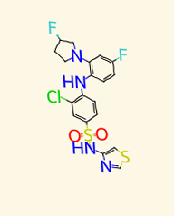 O=S(=O)(Nc1cscn1)c1ccc(Nc2ccc(F)cc2N2CC[C@@H](F)C2)c(Cl)c1